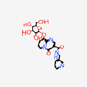 O=C(NCc1cccnc1)c1cnc2c(O[C@@H]3OC(CO)[C@@H](O)[C@H](O)C3O)cccn2c1=O